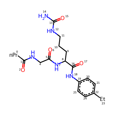 CCCC(=O)NCC(=O)NC(CCCNC(N)=O)C(=O)Nc1ccc(CC)cc1